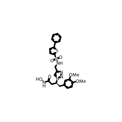 COc1ccc(C[C@@H](CC(=O)NO)n2cc(CNS(=O)(=O)c3ccc(-c4ccccc4)s3)nn2)cc1OC